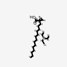 CCCCCCCCCCCCCCC1(C(=O)O)CS1.CCN(CC)CC